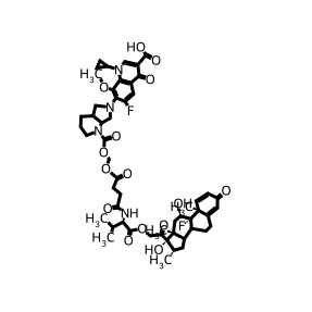 COc1c(N2CC3CCCN(C(=O)OCOC(=O)CCC(=O)N[C@@H](C(=O)OCC(=O)[C@]4(O)[C@@H](C)CC5C6CCC7=CC(=O)C=C[C@@]7(C)[C@]6(F)[C@H](O)C[C@]54C)C(C)C)C3C2)c(F)cc2c(=O)c(C(=O)O)cn(C3CC3)c12